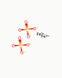 O=P([O-])([O-])[O-].O=P([O-])([O-])[O-].[Fe+3].[Fe+3]